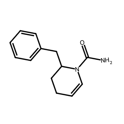 NC(=O)N1C=CCCC1Cc1ccccc1